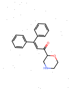 O=C(C=C(c1ccccc1)c1ccccc1)C1CNCCO1